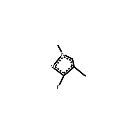 Cc1cn(C)nc1F